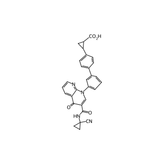 N#CC1(NC(=O)c2cn(-c3cccc(-c4ccc(C5CC5C(=O)O)cc4)c3)c3ncccc3c2=O)CC1